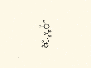 O=C(NCCn1cc[nH]c1=O)Nc1ccc(F)c(Cl)c1